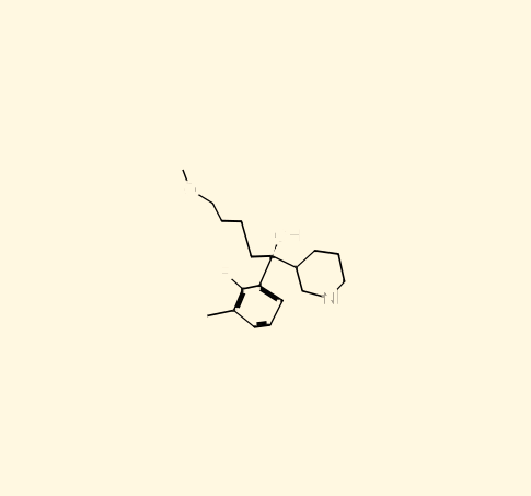 COCCCC[C@@](O)(c1cccc(C)c1F)C1CCCNC1